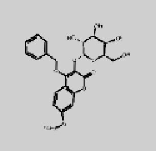 CCCCCCCCOc1ccc2c(OCc3ccccc3)c(O[C@H]3O[C@H](CO)[C@H](O)[C@H](O)[C@H]3O)c(=O)oc2c1